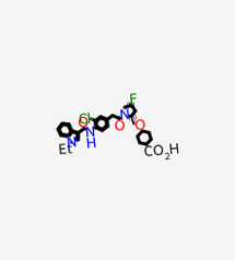 CCn1cc(C(=O)Nc2ccc(CC(=O)N3C[C@@H](F)C[C@H]3CO[C@H]3CC[C@H](C(=O)O)CC3)cc2Cl)c2ccccc21